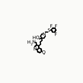 COc1ccc2ncc(CN)c(CCCC3(CO)CCN(CCSc4cc(F)cc(F)c4F)CC3)c2c1